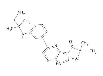 CC(C)(CN)Nc1cccc(-c2cnc3[nH]cc(C(=O)C(C)(C)C)c3n2)c1